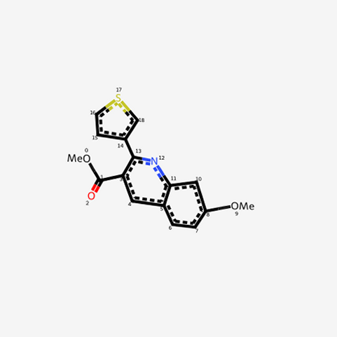 COC(=O)c1cc2ccc(OC)cc2nc1-c1ccsc1